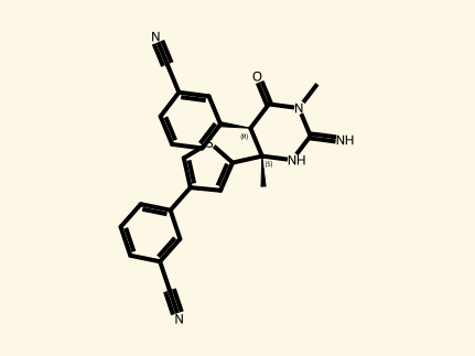 CN1C(=N)N[C@](C)(c2cc(-c3cccc(C#N)c3)cs2)[C@@H](c2cccc(C#N)c2)C1=O